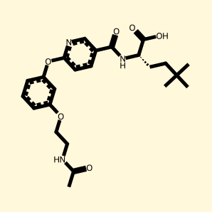 CC(=O)NCCOc1cccc(Oc2ccc(C(=O)N[C@@H](CCC(C)(C)C)C(=O)O)cn2)c1